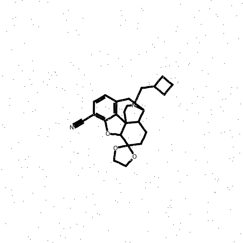 N#Cc1ccc2c3c1OC1C4(CCC5C(C2)N(CC2CCC2)CCC351)OCCO4